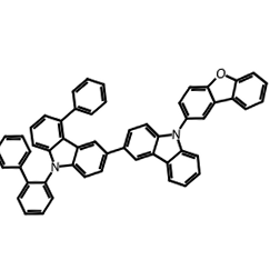 c1ccc(-c2ccccc2-n2c3ccc(-c4ccc5c(c4)c4ccccc4n5-c4ccc5oc6ccccc6c5c4)cc3c3c(-c4ccccc4)cccc32)cc1